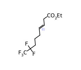 CCOC(=O)C/C=C/CCCC(F)(F)C(F)(F)F